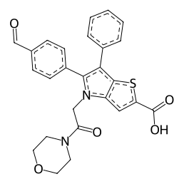 O=Cc1ccc(-c2c(-c3ccccc3)c3sc(C(=O)O)cc3n2CC(=O)N2CCOCC2)cc1